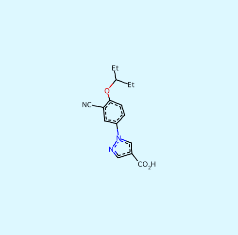 CCC(CC)Oc1ccc(-n2cc(C(=O)O)cn2)cc1C#N